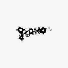 Cc1ccc2sc(S(=O)(=O)N3CCN([C@@H](CC4CCCCC4)C(=O)Nc4nccs4)C(=O)C3)cc2c1